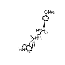 COc1ccc(C#CC(=O)NCCNC(=S)NCc2ccnc3[nH]ccc23)cc1